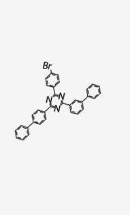 Brc1ccc(-c2nc(-c3ccc(-c4ccccc4)cc3)nc(-c3cccc(-c4ccccc4)c3)n2)cc1